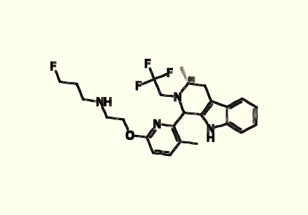 Cc1ccc(OCCNCCCF)nc1C1c2[nH]c3ccccc3c2C[C@@H](C)N1CC(F)(F)F